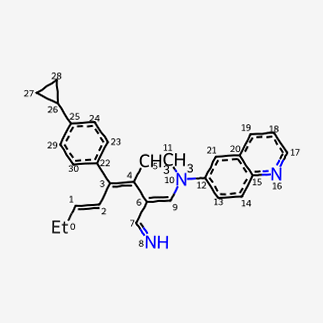 CC/C=C/C(=C(C)\C(C=N)=C/N(C)c1ccc2ncccc2c1)c1ccc(C2CC2)cc1